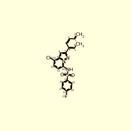 C=C/C=C\C(=C/C)c1cc2c(Cl)ccc(NS(=O)(=O)c3ccc(F)cc3)n2n1